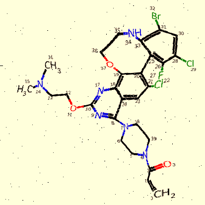 C=CC(=O)N1CCN(c2nc(OCCN(C)C)nc3c4c(c(Cl)cc23)-c2c(F)c(Cl)cc(Br)c2NCCO4)CC1